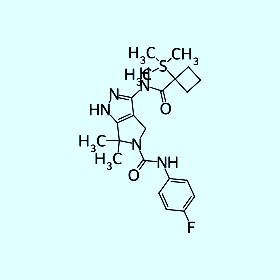 CC1(C)c2[nH]nc(NC(=O)C3(S(C)(C)C)CCC3)c2CN1C(=O)Nc1ccc(F)cc1